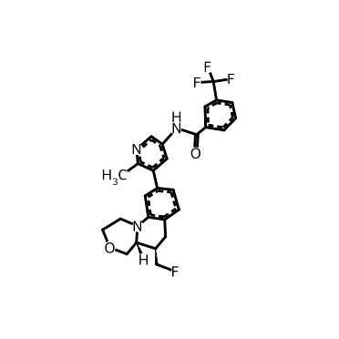 Cc1ncc(NC(=O)c2cccc(C(F)(F)F)c2)cc1-c1ccc2c(c1)N1CCOC[C@H]1[C@H](CF)C2